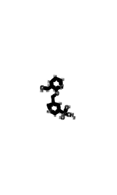 CS(=O)(=O)c1cncc(COc2ncccc2C=O)c1